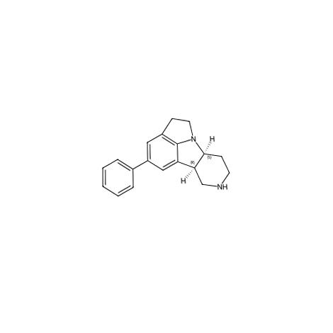 c1ccc(-c2cc3c4c(c2)[C@@H]2CNCC[C@@H]2N4CC3)cc1